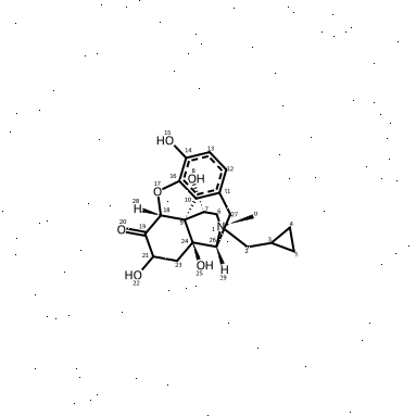 C[N@+]1(CC2CC2)C[C@@H](O)[C@]23c4c5ccc(O)c4O[C@H]2C(=O)C(O)C[C@@]3(O)[C@H]1C5